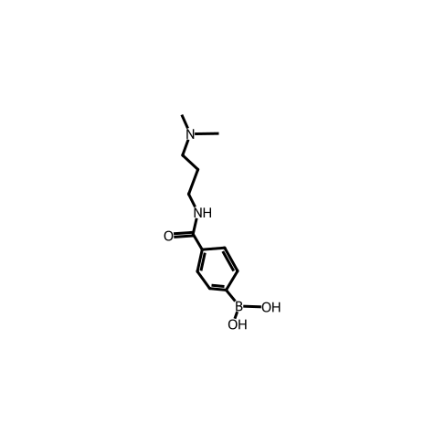 CN(C)CCCNC(=O)c1ccc(B(O)O)cc1